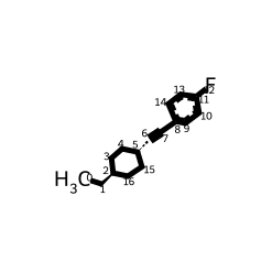 CC[C@H]1CC[C@H](C#Cc2ccc(F)cc2)CC1